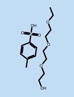 CCOCCOCCOCCO.Cc1ccc(S(=O)(=O)O)cc1